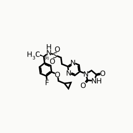 C[C@@H](NS(=O)(=O)CCc1ncc(N2CC(=O)NC2=O)cn1)c1ccc(F)c(OCC2CC2)c1